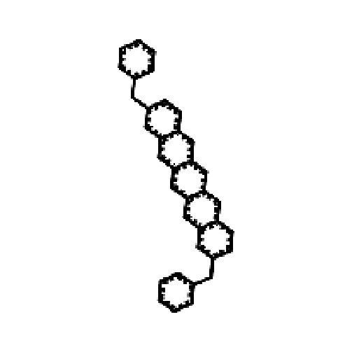 c1ccc(Cc2ccc3cc4cc5cc6ccc(Cc7ccccc7)cc6cc5cc4cc3c2)cc1